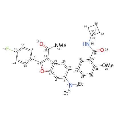 CCN(CC)c1cc2oc(-c3ccc(F)cc3)c(C(=O)NC)c2cc1-c1ccc(OC)c(C(=O)NC23CC(C2)C3)c1